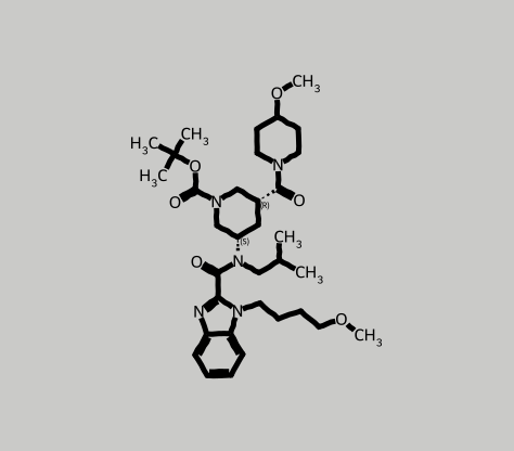 COCCCCn1c(C(=O)N(CC(C)C)[C@H]2C[C@@H](C(=O)N3CCC(OC)CC3)CN(C(=O)OC(C)(C)C)C2)nc2ccccc21